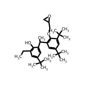 CCc1cc(C(C)(C)C)cc(C(C)c2cc(C(C)(C)C)cc(C(C)(C)C)c2OCC2CO2)c1O